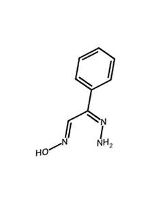 NN=C(C=NO)c1ccccc1